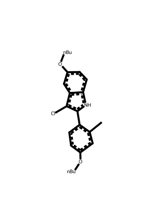 CCCCOc1ccc(-c2[nH]c3ccc(OCCCC)cc3c2Cl)c(C)c1